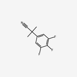 CC(C)(C#N)c1cc(F)c(F)c(F)c1